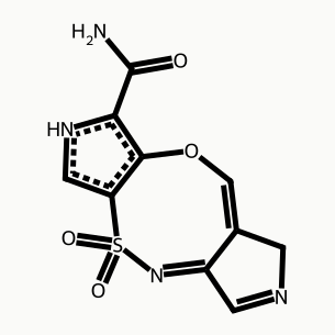 NC(=O)c1[nH]cc2c1OC=C1CN=CC1=NS2(=O)=O